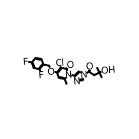 Cc1cc(OCc2ccc(F)cc2F)c(Cl)c(=O)n1-c1cn(C(=O)CC(C)(C)O)cn1